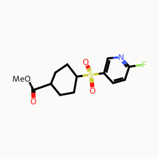 COC(=O)C1CCC(S(=O)(=O)c2ccc(F)nc2)CC1